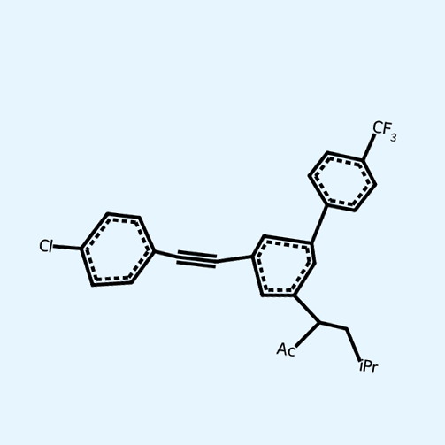 CC(=O)C(CC(C)C)c1cc(C#Cc2ccc(Cl)cc2)cc(-c2ccc(C(F)(F)F)cc2)c1